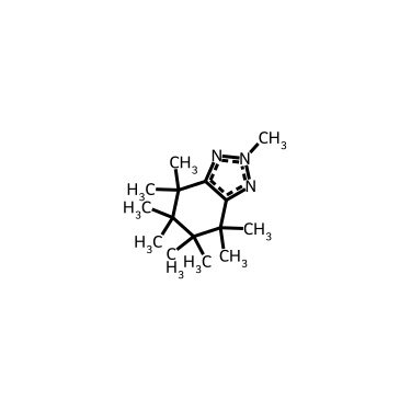 Cn1nc2c(n1)C(C)(C)C(C)(C)C(C)(C)C2(C)C